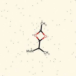 CNC(C)C1OC(C)O1